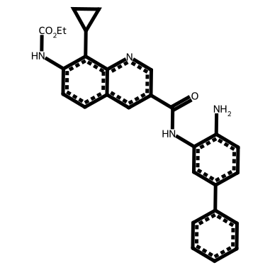 CCOC(=O)Nc1ccc2cc(C(=O)Nc3cc(-c4ccccc4)ccc3N)cnc2c1C1CC1